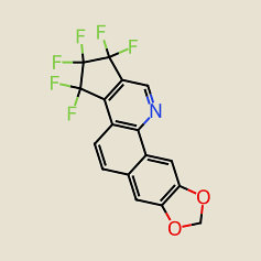 FC1(F)c2cnc3c(ccc4cc5c(cc43)OCO5)c2C(F)(F)C1(F)F